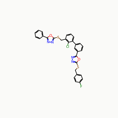 Fc1ccc(CSc2nnc(-c3cccc(-c4cccc(CSc5nnc(-c6ccccc6)o5)c4Cl)c3)o2)cc1